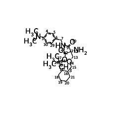 CN(C)c1ccc(CNC(=O)[C@@](N)(COCC2CCCCC2)C(=O)OC(C)(C)C)cc1